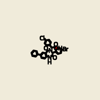 O=C(O)C(c1ccc(Cl)cc1)N1C(=O)c2cc(-c3ccccc3)ccc2NC(=O)C1c1ccc(Br)cc1